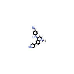 C/N=C/c1ccc(NC2c3cc(C4=CCNCC4)ccc3N(C(C)=O)[C@@H](C)[C@@H]2C)cc1